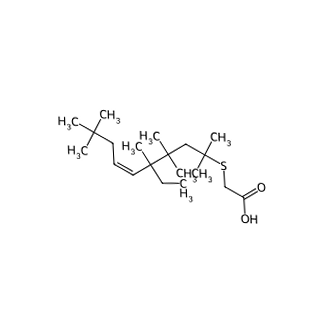 CCC(C)(/C=C\CC(C)(C)C)C(C)(C)CC(C)(C)SCC(=O)O